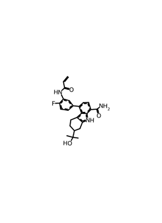 C=CC(=O)Nc1cc(-c2ccc(C(N)=O)c3[nH]c4c(c23)CCC(C(C)(C)O)C4)ccc1F